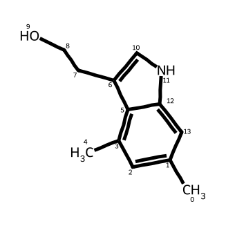 Cc1cc(C)c2c(CCO)c[nH]c2c1